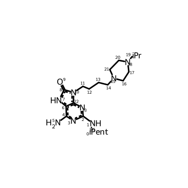 CCC[C@@H](C)Nc1nc(N)c2[nH]c(=O)n(CCCCN3CCN(C(C)C)CC3)c2n1